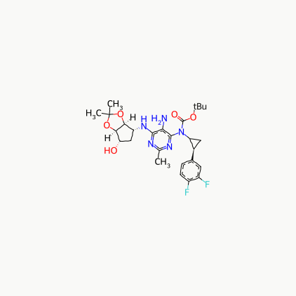 Cc1nc(N[C@@H]2C[C@H](O)[C@H]3OC(C)(C)O[C@H]32)c(N)c(N(C(=O)OC(C)(C)C)C2C[C@H]2c2ccc(F)c(F)c2)n1